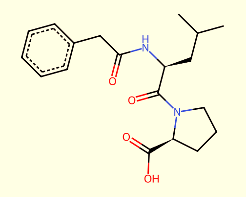 CC(C)C[C@H](NC(=O)Cc1ccccc1)C(=O)N1CCC[C@H]1C(=O)O